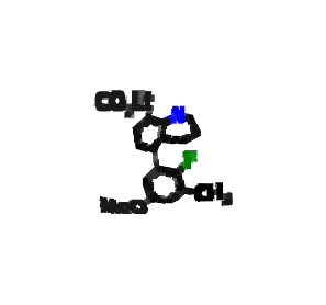 CCOC(=O)c1ccc(-c2cc(OC)cc(C)c2F)c2cccnc12